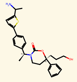 CC(N)c1ccc(-c2ccc([C@H](C)N3CC[C@](CCCO)(c4ccccc4)OC3=O)cc2)s1